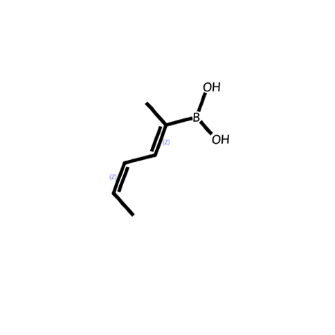 C/C=C\C=C(/C)B(O)O